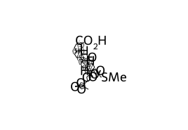 CSCC(=O)O[C@H]1CC[C@@]2(C)[C@@H](CC[C@]3(C)[C@@H]2C(=O)C=C2[C@@H]4C[C@@](C)(C(=O)O)CC[C@]4(C)CC[C@]23C)[C@]1(C)C(=O)OCc1oc(=O)oc1C